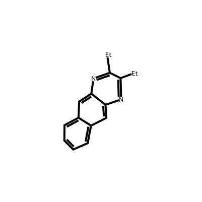 CCc1nc2cc3ccccc3cc2nc1CC